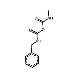 CNC(=O)OC(=O)NCc1ccccc1